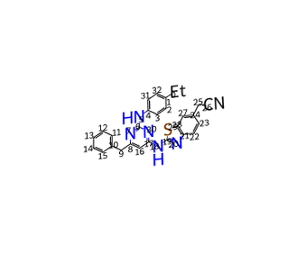 CCc1ccc(Nc2nc(Cc3ccccc3)cc(Nc3nc4ccc(CC#N)cc4s3)n2)cc1